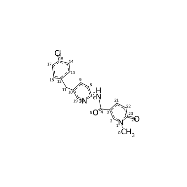 Cn1cc(C(=O)Nc2ccc(Cc3ccc(Cl)cc3)cn2)ccc1=O